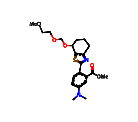 COCCOCOC1CCCc2nc(-c3ccc(N(C)C)cc3C(=O)OC)sc21